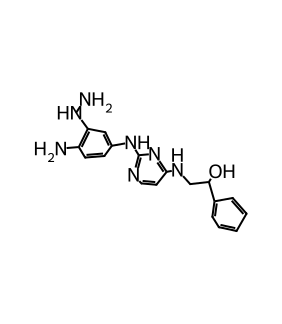 NNc1cc(Nc2nccc(NCC(O)c3ccccc3)n2)ccc1N